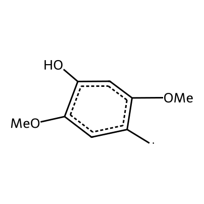 [CH2]c1cc(OC)c(O)cc1OC